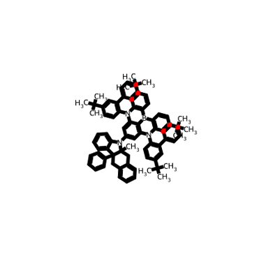 CC(C)(C)c1ccc(N2c3cc(C(C)(C)C)ccc3B3c4ccc(C(C)(C)C)cc4N(c4ccc(C(C)(C)C)cc4-c4ccccc4)c4cc(N5c6ccccc6C6(c7ccccc7)Cc7ccccc7CC56C)cc2c43)c(-c2ccccc2)c1